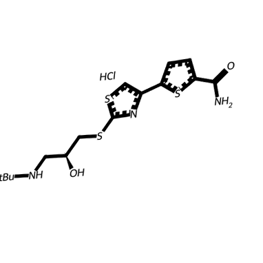 CC(C)(C)NC[C@H](O)CSc1nc(-c2ccc(C(N)=O)s2)cs1.Cl